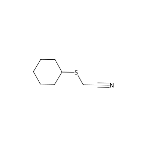 N#CCSC1CCCCC1